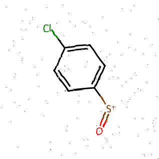 O=[S+]c1[c]cc(Cl)cc1